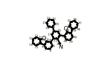 N#Cc1c(-c2cccc3c2oc2ccccc23)cc(-c2ccccc2)cc1-c1cccc2c1oc1ccccc12